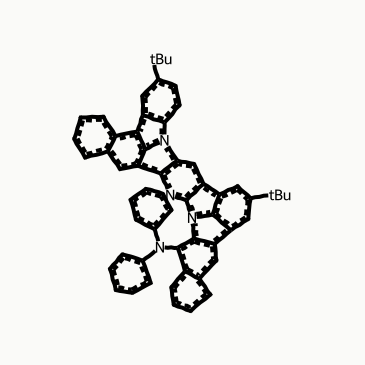 CC(C)(C)c1ccc2c(c1)c1c3ccccc3cc3c4nc5c(cc4n2c31)c1cc(C(C)(C)C)cc2c3cc4ccccc4c(N(c4ccccc4)c4ccccc4)c3n5c12